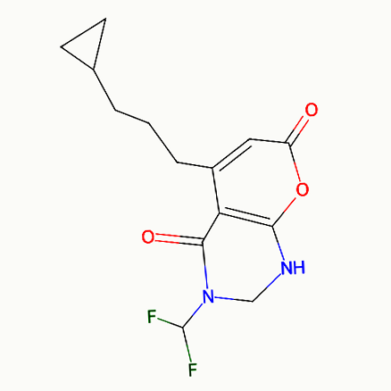 O=C1c2c(CCCC3CC3)cc(=O)oc2NCN1C(F)F